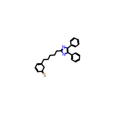 S=C1C=CC=C(CCCCCC2=NC(c3ccccc3)=C(c3ccccc3)[N]2)C1